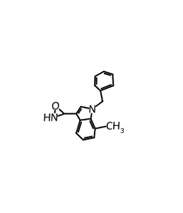 Cc1cccc2c(C3NO3)cn(Cc3ccccc3)c12